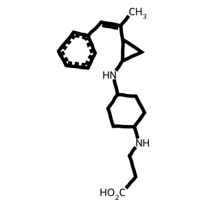 CC(=Cc1ccccc1)C1CC1NC1CCC(NCCC(=O)O)CC1